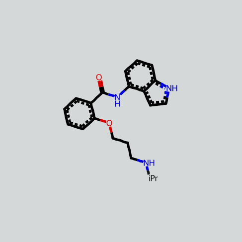 CC(C)NCCCOc1ccccc1C(=O)Nc1cccc2[nH]ccc12